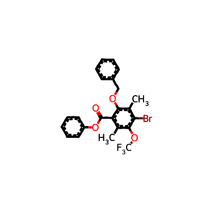 Cc1c(Br)c(OC(F)(F)F)c(C)c(C(=O)Oc2ccccc2)c1OCc1ccccc1